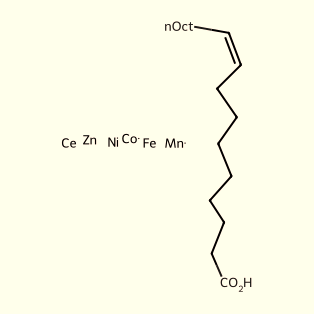 CCCCCCCC/C=C\CCCCCCCC(=O)O.[Ce].[Co].[Fe].[Mn].[Ni].[Zn]